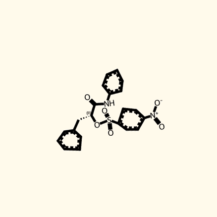 O=C(Nc1ccccc1)[C@@H](Cc1ccccc1)OS(=O)(=O)c1ccc([N+](=O)[O-])cc1